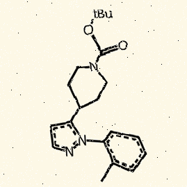 Cc1ccccc1-n1nccc1C1CCN(C(=O)OC(C)(C)C)CC1